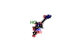 COc1ccc(C(=O)Nc2ccc(C(=O)N(C)c3ccc(C)cc3OCCCCCC(=O)N3CCN(C)CC3)cc2OC)c(O)c1.Cl